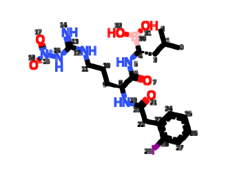 CC(C)C[C@H](NC(=O)[C@H](CCCNC(=N)N[N+](=O)[O-])NC(=O)Cc1ccccc1I)B(O)O